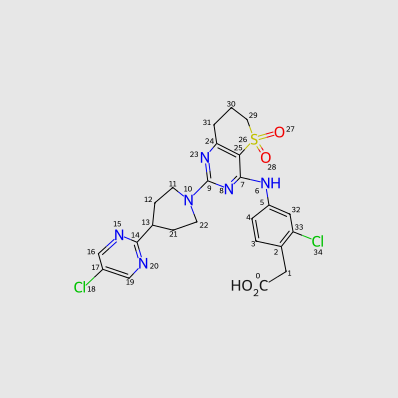 O=C(O)Cc1ccc(Nc2nc(N3CCC(c4ncc(Cl)cn4)CC3)nc3c2S(=O)(=O)CCC3)cc1Cl